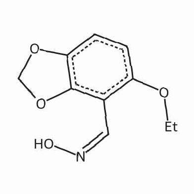 CCOc1ccc2c(c1/C=N\O)OCO2